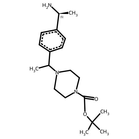 CC(c1ccc([C@H](C)N)cc1)N1CCN(C(=O)OC(C)(C)C)CC1